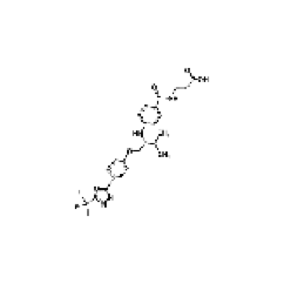 CC(C)C(COc1ccc(-c2nnc(C(F)(F)F)o2)cc1)Nc1ccc(C(=O)NCCC(=O)O)cc1